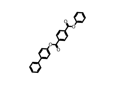 O=C(Oc1ccccc1)c1ccc(C(=O)Oc2ccc(-c3ccccc3)cc2)cc1